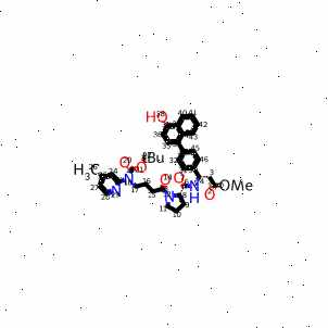 COC(=O)C[C@H](NC(=O)[C@@H]1CCCN1C(=O)CCCN(C(=O)OC(C)(C)C)c1cc(C)ccn1)c1ccc(-c2ccc(O)c3ccccc23)cc1